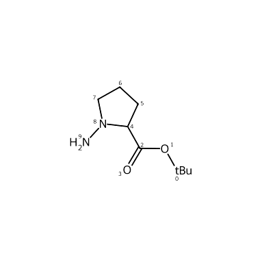 CC(C)(C)OC(=O)C1CCCN1N